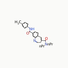 CCCN(CCC)C(=O)C1=Cc2ccc(C(=O)Nc3ccc(C)cc3)cc2N=CC1